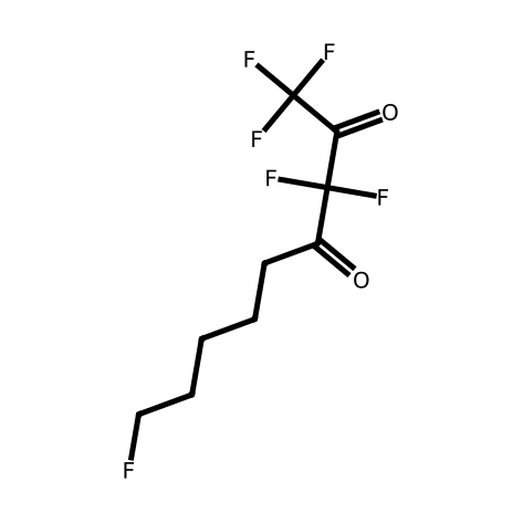 O=C(CCCCCF)C(F)(F)C(=O)C(F)(F)F